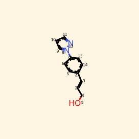 OC/C=C/c1ccc(-n2cccn2)cc1